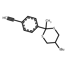 C#Cc1ccc(C2(C)SCC(C(C)(C)C)CS2)cc1